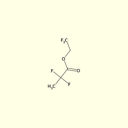 CC(F)(F)C(=O)OCC(F)(F)F